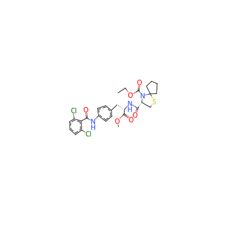 CCOC(=O)N1[C@@H](C(=O)N[C@@H](Cc2ccc(NC(=O)c3c(Cl)cccc3Cl)cc2)C(=O)OC)CSC12CCCC2